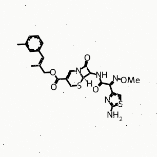 CON=C(C(=O)NC1C(=O)N2C=C(C(=O)OCC(C)=Cc3cccc(C)c3)CS[C@H]12)c1csc(N)n1